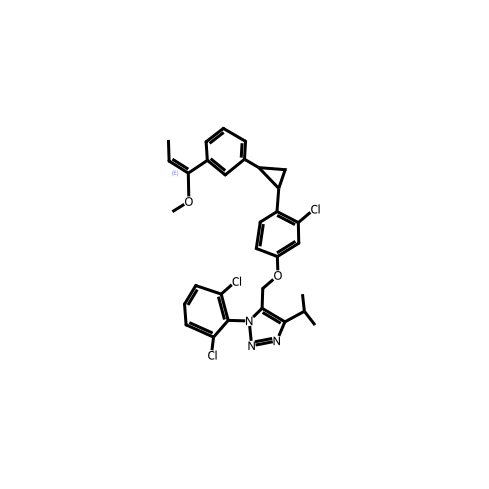 C/C=C(/OC)c1cccc(C2CC2c2ccc(OCc3c(C(C)C)nnn3-c3c(Cl)cccc3Cl)cc2Cl)c1